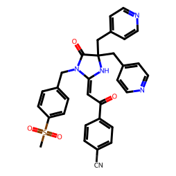 CS(=O)(=O)c1ccc(CN2C(=O)C(Cc3ccncc3)(Cc3ccncc3)N/C2=C\C(=O)c2ccc(C#N)cc2)cc1